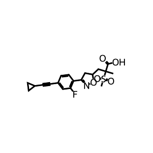 CC(CC1CC(c2ccc(C#CC3CC3)cc2F)=NO1)(C(=O)O)S(C)(=O)=O